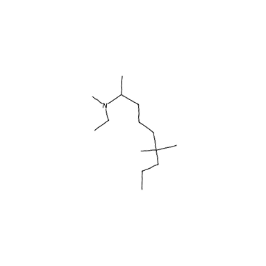 CCCC(C)(C)CCCC(C)N(C)CC